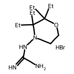 Br.CCC1(CC)OCCN(NC(=N)N)C1(CC)CC